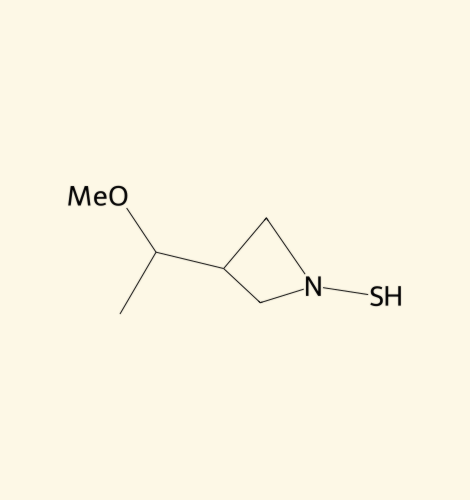 COC(C)C1CN(S)C1